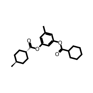 Cc1cc(OC(=O)C2CCCCC2)cc(OC(=O)[C@H]2CC[C@H](C)CC2)c1